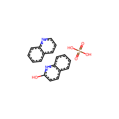 O=S(=O)(O)O.Oc1ccc2ccccc2n1.c1ccc2ncccc2c1